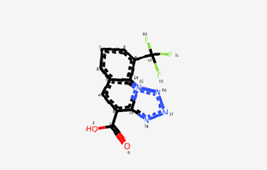 O=C(O)c1cc2cccc(C(F)(F)F)c2n2nnnc12